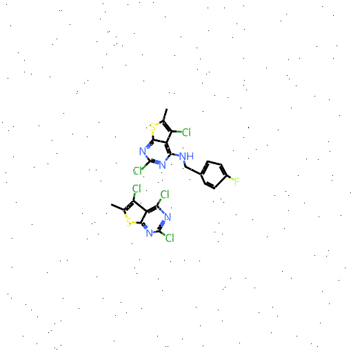 Cc1sc2nc(Cl)nc(Cl)c2c1Cl.Cc1sc2nc(Cl)nc(NCc3ccc(F)cc3)c2c1Cl